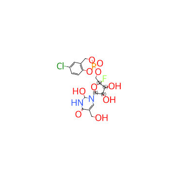 O=C1NC(O)N([C@@H]2O[C@](F)(COP3(=O)OCc4cc(Cl)ccc4O3)[C@@H](O)[C@H]2O)C=C1CO